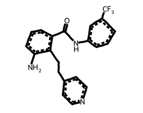 Nc1cccc(C(=O)Nc2cccc(C(F)(F)F)c2)c1CCc1ccncc1